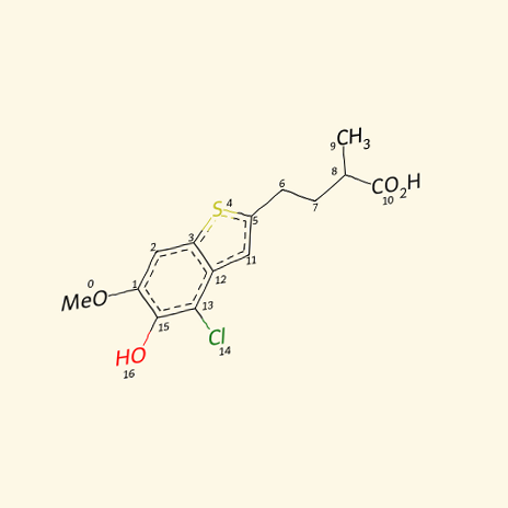 COc1cc2sc(CCC(C)C(=O)O)cc2c(Cl)c1O